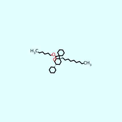 CCCCCCCCC[C@]1(C2(C(=O)OCCCCCC)CCCCC2)CC[C@@H](C2CCCCC2)CC1